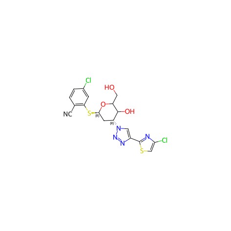 N#Cc1ccc(Cl)cc1S[C@@H]1C[C@@H](n2cc(-c3nc(Cl)cs3)nn2)C(O)C(CO)O1